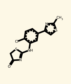 Cc1nc(-c2ccc(Cl)c(NC3=NC(=O)CS3)c2)cs1